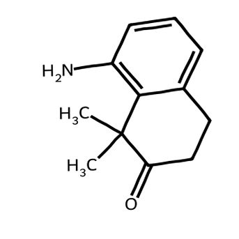 CC1(C)C(=O)CCc2cccc(N)c21